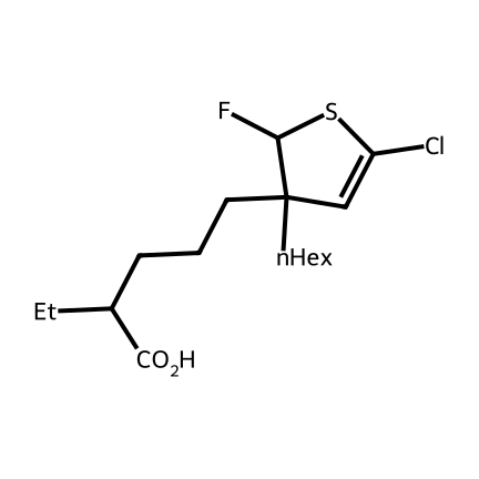 CCCCCCC1(CCCC(CC)C(=O)O)C=C(Cl)SC1F